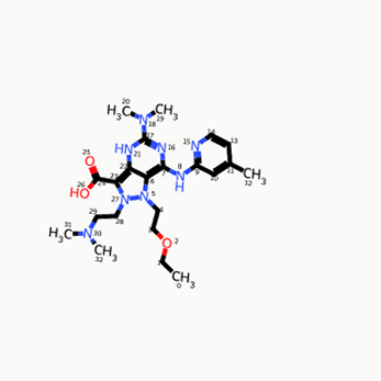 CCOCCN1C2=C(Nc3cc(C)ccn3)N=C(N(C)C)NC2=C(C(=O)O)N1CCN(C)C